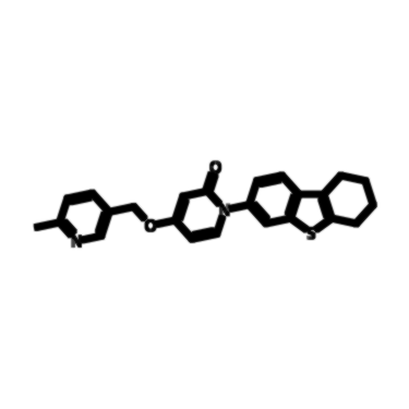 Cc1ccc(COc2ccn(-c3ccc4c5c(sc4c3)CCCC5)c(=O)c2)cn1